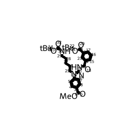 COC(=O)c1ccc2c(c1)nc(NC(=O)c1cccc(C(=O)OC(C)(C)C)c1)n2CCCCCNC(=O)OC(C)(C)C